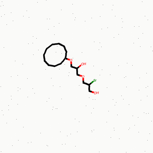 OCC(Br)COCC(O)COC1CCCCCCCCCC1